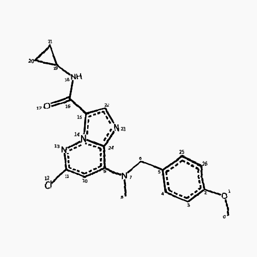 COc1ccc(CN(C)c2cc(Cl)nn3c(C(=O)NC4CC4)cnc23)cc1